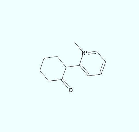 C[n+]1ccccc1C1CCCCC1=O